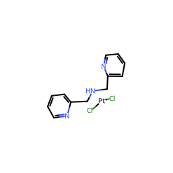 [Cl][Pt][Cl].c1ccc(CNCc2ccccn2)nc1